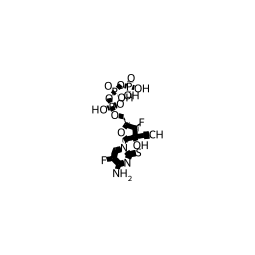 C#CC1(O)[C@@H](F)[C@@H](COP(=O)(O)OP(=O)(O)OP(=O)(O)O)O[C@H]1n1cc(F)c(N)nc1=S